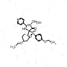 CCOc1ccc(S(=O)(=O)[C@@](NCc2ccncc2)(C(=O)NO)[C@H]2CC[C@H](OCC)CC2)cc1.Cl